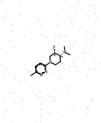 CN(C)[C@@H]1CCN(c2ccc(I)nn2)C[C@H]1F